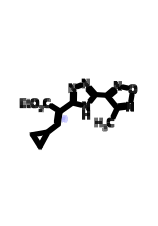 CCOC(=O)/C(=C\C1CC1)c1nnc(-c2nonc2C)[nH]1